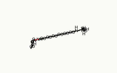 CCOC(=O)COc1cccc(C(=O)NCCNCCCOCCOCCOCCOCCOCCOCCOCCOCCOCCOCCOCCOCCNCCCCC[C@@H]2SC[C@@H]3NC(=O)N[C@@H]32)c1